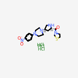 Cl.Cl.Cl.O=C([C@@H]1C[C@H](N2CCN(c3ccc([N+](=O)[O-])cc3)CC2)CN1)N1CCSC1